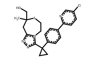 CC1(CO)Cc2nnc(C3(c4ccc(-c5ccc(Cl)cn5)cc4)CC3)n2CCS1